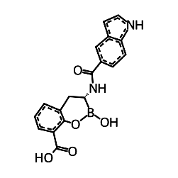 O=C(N[C@H]1Cc2cccc(C(=O)O)c2OB1O)c1ccc2[nH]ccc2c1